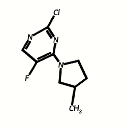 CC1CCN(c2nc(Cl)ncc2F)C1